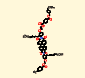 CCCCCCCCCCCCCCCc1cc(OCCOC(=O)C2CCC(C(C)=O)CC2)ccc1N1C(=O)c2ccc3c4ccc5c6c(ccc(c7ccc(c2c37)C1=O)c64)C(=O)N(c1ccc(OCCOC(=O)C2CCC(C(=O)OCC3CCC(COC)CC3)CC2)cc1CCCCCCCCCCCCCCC)C5=O